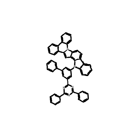 c1ccc(-c2cc(-c3nc(-c4ccccc4)nc(-c4ccccc4)n3)cc(-n3c4ccccc4c4ccc5c(cc6c7ccccc7c7ccccc7n65)c43)c2)cc1